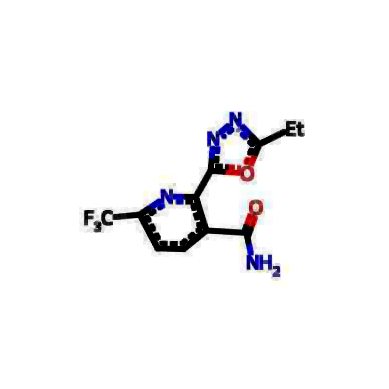 CCc1nnc(-c2nc(C(F)(F)F)ccc2C(N)=O)o1